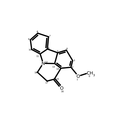 COc1ccc2c3ccccc3n3c2c1C(=O)CC3